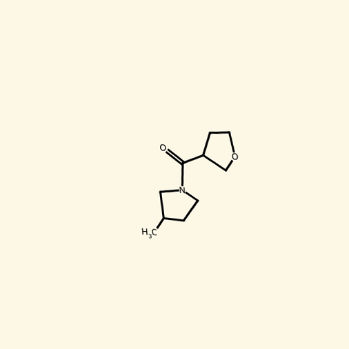 CC1CCN(C(=O)C2CCOC2)C1